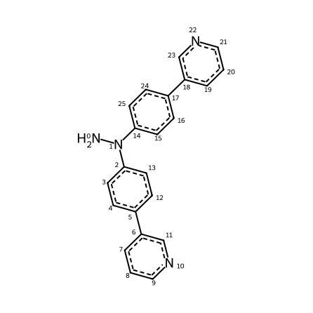 NN(c1ccc(-c2cccnc2)cc1)c1ccc(-c2cccnc2)cc1